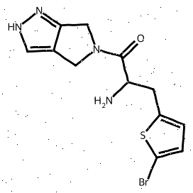 NC(Cc1ccc(Br)s1)C(=O)N1Cc2c[nH]nc2C1